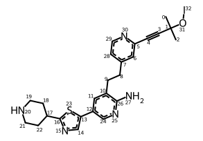 CC(C)(C#Cc1cc(CCc2cc(-c3cnc(C4CCNCC4)s3)cnc2N)ccn1)OI